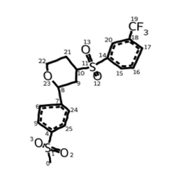 CS(=O)(=O)c1ccc(C2CC(S(=O)(=O)c3cccc(C(F)(F)F)c3)CCO2)cc1